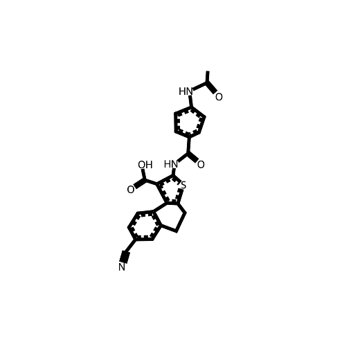 CC(=O)Nc1ccc(C(=O)Nc2sc3c(c2C(=O)O)-c2ccc(C#N)cc2CC3)cc1